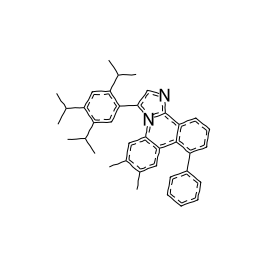 Cc1cc2c3c(-c4ccccc4)cccc3c3ncc(-c4cc(C(C)C)c(C(C)C)cc4C(C)C)n3c2cc1C